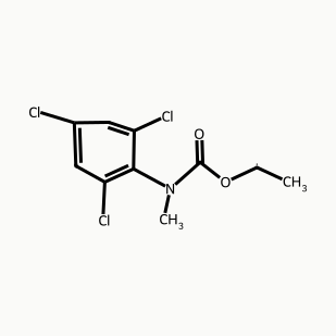 C[CH]OC(=O)N(C)c1c(Cl)cc(Cl)cc1Cl